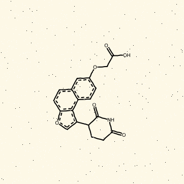 O=C(O)COc1ccc2c(ccc3occ(C4CCC(=O)NC4=O)c32)c1